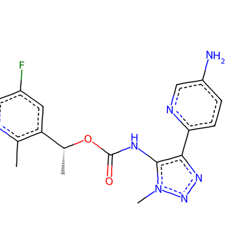 Cc1ncc(F)cc1[C@@H](C)OC(=O)Nc1c(-c2ccc(N)cn2)nnn1C